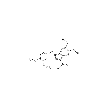 COc1ccc(Cn2nc(C(=O)O)c3cc(OC)c(OC)cc32)cc1OC